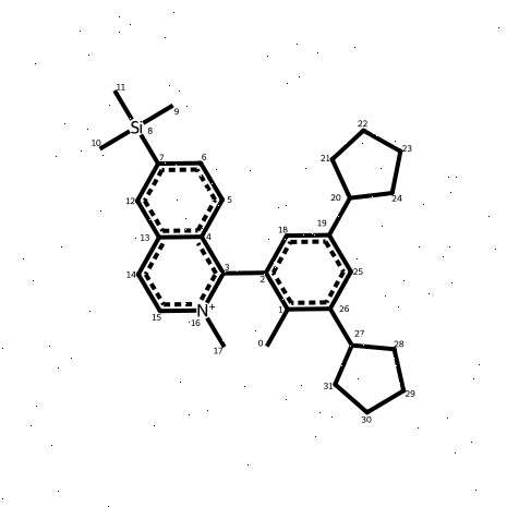 Cc1c(-c2c3ccc([Si](C)(C)C)cc3cc[n+]2C)cc(C2CCCC2)cc1C1CCCC1